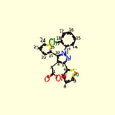 O=C(O)Cc1c(-c2cccs2)nn(-c2ccccc2Cl)c1-c1cccs1